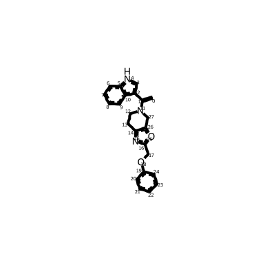 C=C(c1c[nH]c2ccccc12)N1CCc2nc(COc3ccccc3)oc2C1